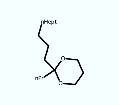 CCCCCCCCCCC1(CCC)OCCCO1